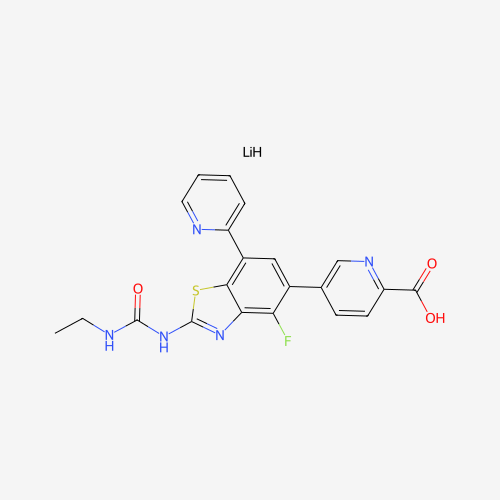 CCNC(=O)Nc1nc2c(F)c(-c3ccc(C(=O)O)nc3)cc(-c3ccccn3)c2s1.[LiH]